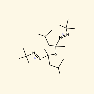 CC(C)CC(C)(/N=N/C(C)(C)C)SC(C)(CC(C)C)/N=N/C(C)(C)C